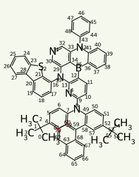 CC(C)(C)c1ccc(N(c2ccc3c(n2)N(c2cccc4c2sc2ccccc24)c2cncc4c2B3c2ccccc2N4c2ccccc2)c2ccc(C(C)(C)C)cc2-c2cccc3ccccc23)cc1